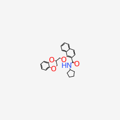 O=C(NC1CCCC1)c1ccc2ccccc2c1OCC1COc2ccccc2O1